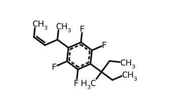 C/C=C\C(C)c1c(F)c(F)c(C(C)(CC)CC)c(F)c1F